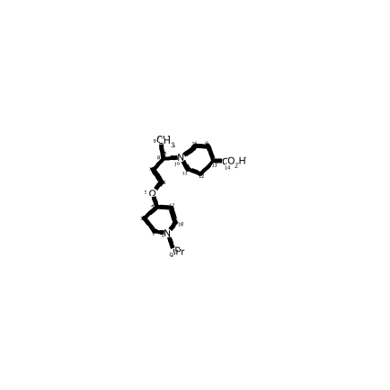 CC(C)N1CCC(OCCC(C)N2CCC(C(=O)O)CC2)CC1